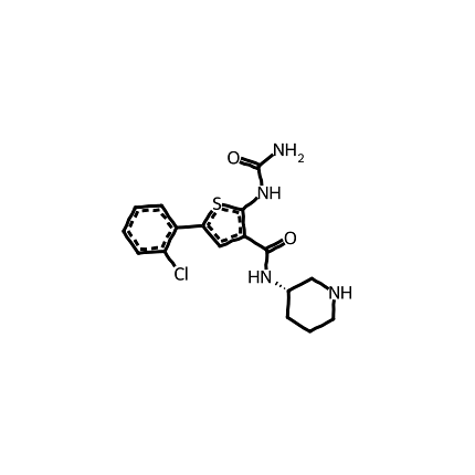 NC(=O)Nc1sc(-c2ccccc2Cl)cc1C(=O)N[C@H]1CCCNC1